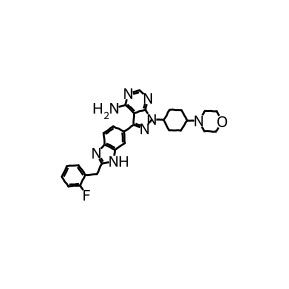 Nc1ncnc2c1c(-c1ccc3nc(Cc4ccccc4F)[nH]c3c1)nn2C1CCC(N2CCOCC2)CC1